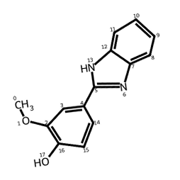 COc1cc(-c2nc3ccccc3[nH]2)ccc1O